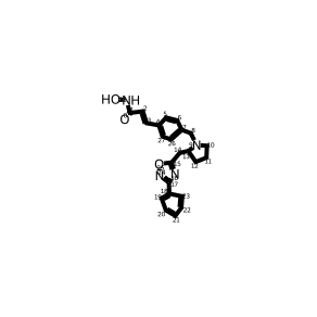 O=C(C=Cc1ccc(CN2CCCC2Cc2nc(-c3ccccc3)no2)cc1)NO